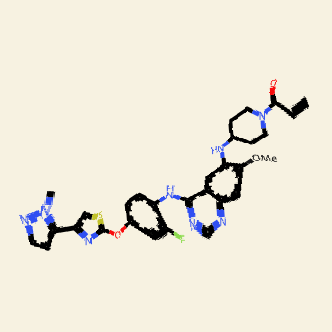 C=CC(=O)N1CCC(Nc2cc3c(Nc4ccc(Oc5nc(-c6ccnn6C)cs5)cc4F)ncnc3cc2OC)CC1